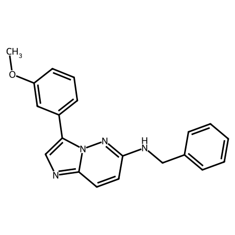 COc1cccc(-c2cnc3ccc(NCc4ccccc4)nn23)c1